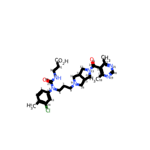 Cc1ccc(N(CCCN2CC3CN(C(=O)c4c(C)ncnc4C)CC3C2)C(=O)NCCC(=O)O)cc1Cl